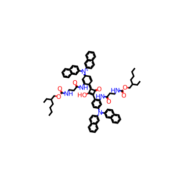 CCCCC(CC)COC(=O)NCCC(=O)NC1=CC(=[N+](c2ccc3ccccc3c2)c2ccc3ccccc3c2)C=C/C1=C1\C(=O)C(c2ccc(N(c3ccc4ccccc4c3)c3ccc4ccccc4c3)cc2NC(=O)CCNC(=O)OCC(CC)CCCC)=C1O